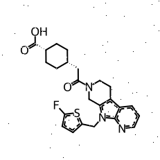 O=C(C[C@H]1CC[C@@H](C(=O)O)CC1)N1CCc2c(n(Cc3ccc(F)s3)c3ncccc23)C1